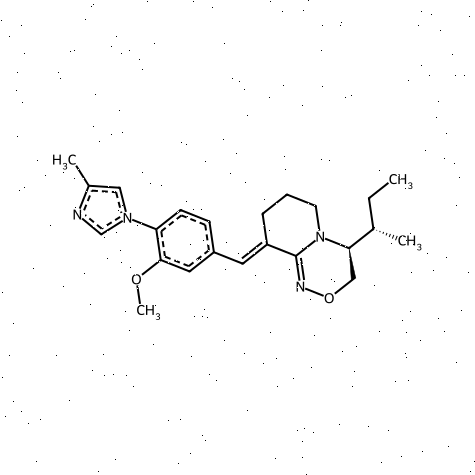 CC[C@H](C)[C@H]1CON=C2/C(=C/c3ccc(-n4cnc(C)c4)c(OC)c3)CCCN21